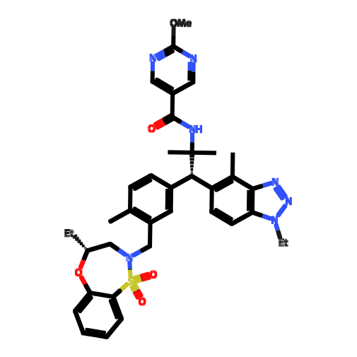 CC[C@@H]1CN(Cc2cc([C@@H](c3ccc4c(nnn4CC)c3C)C(C)(C)NC(=O)c3cnc(OC)nc3)ccc2C)S(=O)(=O)c2ccccc2O1